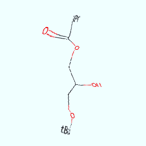 CC(C)C(=O)OCC(O)COC(C)(C)C